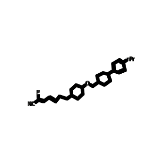 CCCc1ccc(C2CCC(COC3CCC(CCC=CC=C(F)C#N)CC3)CC2)cc1